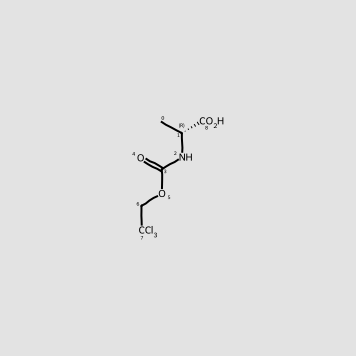 C[C@@H](NC(=O)OCC(Cl)(Cl)Cl)C(=O)O